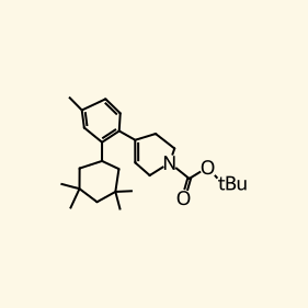 Cc1ccc(C2=CCN(C(=O)OC(C)(C)C)CC2)c(C2CC(C)(C)CC(C)(C)C2)c1